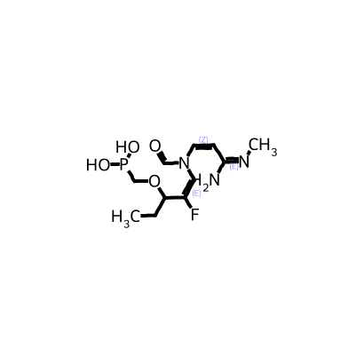 CCC(OCP(O)O)/C(F)=C\N(C=O)/C=C\C(N)=N/C